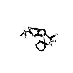 CS(=O)(=O)c1ncc2cc3n(c2n1)C1(CCCCC1)NNC3=O